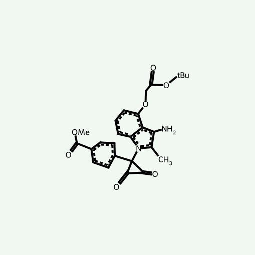 COC(=O)c1ccc(C2(n3c(C)c(N)c4c(OCC(=O)OC(C)(C)C)cccc43)C(=O)C2=O)cc1